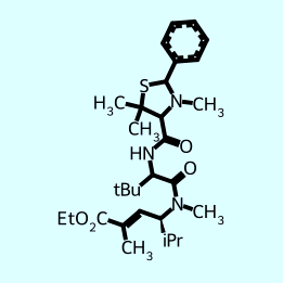 CCOC(=O)/C(C)=C/[C@H](C(C)C)N(C)C(=O)C(NC(=O)C1N(C)C(c2ccccc2)SC1(C)C)C(C)(C)C